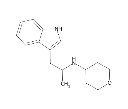 CC(Cc1c[nH]c2ccccc12)NC1CCOCC1